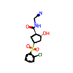 N#CCNC(=O)[C@@H]1C[C@H](S(=O)(=O)c2ccccc2Cl)C[C@H]1O